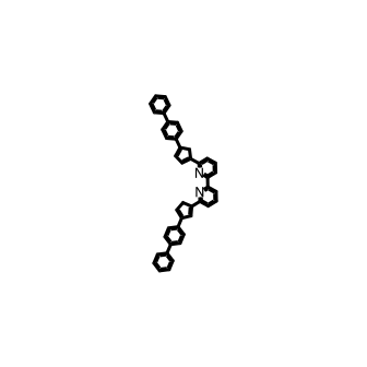 C1=C(c2ccc(-c3ccccc3)cc2)C=C(c2cccc(-c3cccc(C4=CC=C(c5ccc(-c6ccccc6)cc5)C4)n3)n2)C1